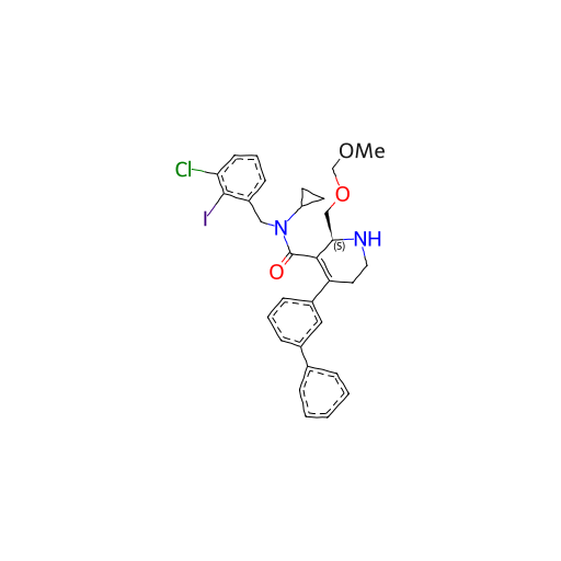 COCOC[C@H]1NCCC(c2cccc(-c3ccccc3)c2)=C1C(=O)N(Cc1cccc(Cl)c1I)C1CC1